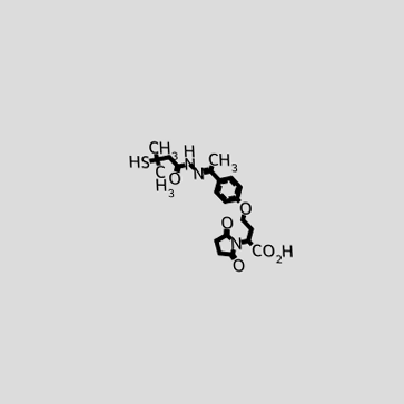 CC(=NNC(=O)CC(C)(C)S)c1ccc(OCCC(C(=O)O)N2C(=O)CCC2=O)cc1